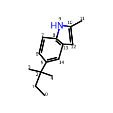 CCC(C)(C)c1ccc2[nH]c(C)cc2c1